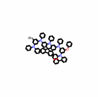 CC(C)(C)c1cc(N(c2ccccc2)c2ccccc2)cc(N(c2ccccc2)c2ccc3c(c2)N(c2ccccc2)c2cc(N(c4ccccc4)c4cc(Oc5ccccc5)cc(N(c5ccccc5)c5ccccc5-c5ccccc5)c4)ccc2C32c3ccccc3-c3ccccc32)c1